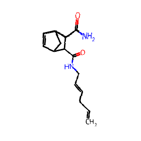 C=CCC=CCNC(=O)C1C2C=CC(C2)C1C(N)=O